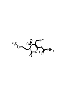 CC(C)CC1=C(CC(N)=O)NC(=O)N(CCOC(F)(F)F)S1(=O)=O